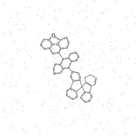 C1=CC2=C(CC1)C1(c3ccccc32)c2ccccc2-c2cc(-c3c4ccccc4c(-c4cc5cccc6oc7cccc4c7c56)c4ccccc34)ccc21